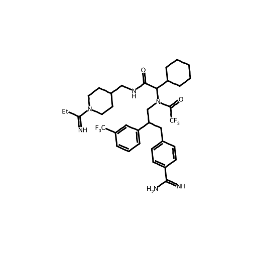 CCC(=N)N1CCC(CNC(=O)C(C2CCCCC2)N(CC(Cc2ccc(C(=N)N)cc2)c2cccc(C(F)(F)F)c2)C(=O)C(F)(F)F)CC1